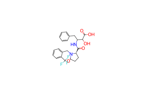 O=C(O)C(O)C(Cc1ccccc1)NC(=O)[C@H]1CCC(=O)N1Cc1ccccc1C(F)(F)F